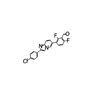 O=Cc1c(F)ccc(-c2ccc3nc(-c4ccc(Cl)cc4)cn3c2)c1F